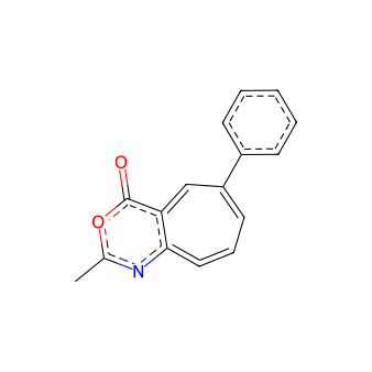 Cc1nc2c(c(=O)o1)=CC(c1ccccc1)=CC=C=2